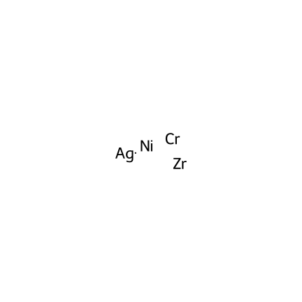 [Ag].[Cr].[Ni].[Zr]